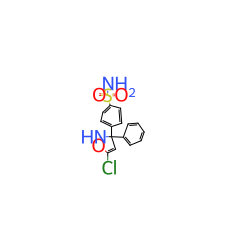 NS(=O)(=O)c1ccc(C2(c3ccccc3)C=C(Cl)ON2)cc1